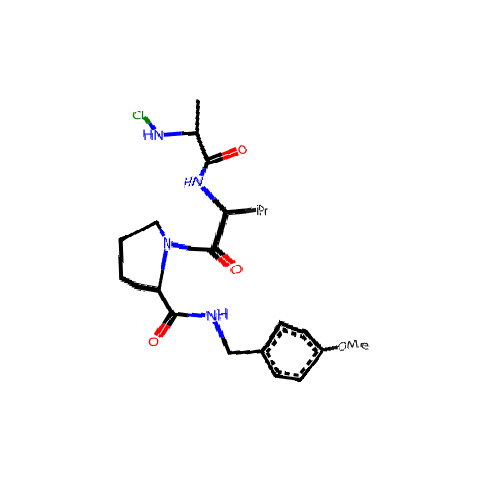 COc1ccc(CNC(=O)C2CCCN2C(=O)C(NC(=O)C(C)NCl)C(C)C)cc1